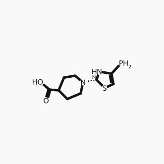 O=C(O)C1CCN([C@@H]2NC(P)=CS2)CC1